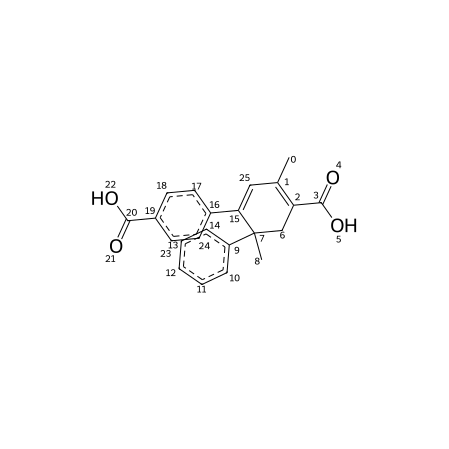 CC1=C(C(=O)O)CC(C)(c2ccccc2)C(c2ccc(C(=O)O)cc2)=C1